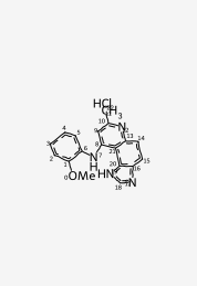 COc1ccccc1Nc1cc(C)nc2ccc3nc[nH]c3c12.Cl